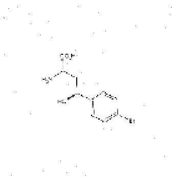 N[C@@H](C[C@H](O)c1ccc(Br)cc1)C(=O)O